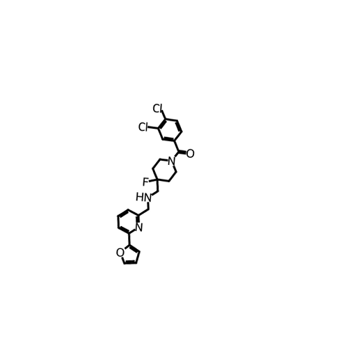 O=C(c1ccc(Cl)c(Cl)c1)N1CCC(F)(CNCc2cccc(-c3ccco3)n2)CC1